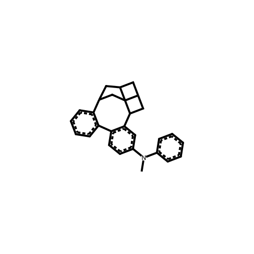 CN(c1ccccc1)c1ccc2c(c1)C1CC3CC4CC(CC431)c1ccccc1-2